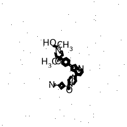 COC1(c2ccc(-c3cc4c(N5CCN(C(=O)[C@H]6C[C@H](C#N)C6)CC5)ccnn4c3)cc2)CCN([C@@H](C)CO)CC1